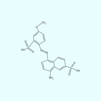 COc1ccc(N=Nc2ccc(N)c3cc(S(=O)(=O)O)ccc23)c(S(=O)(=O)O)c1